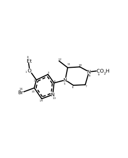 CCOc1cc(N2CCN(C(=O)O)CC2C)ncc1Br